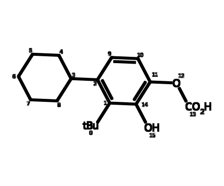 CC(C)(C)c1c(C2CCCCC2)ccc(OC(=O)O)c1O